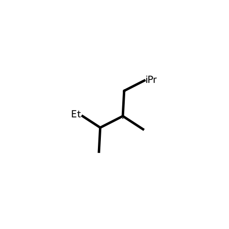 CCC(C)[C](C)CC(C)C